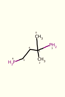 CC(C)(P)CCP